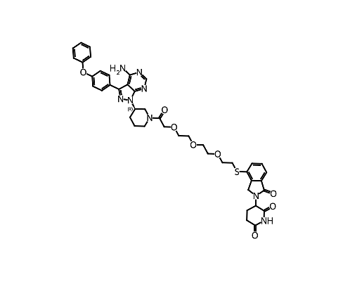 Nc1ncnc2c1c(-c1ccc(Oc3ccccc3)cc1)nn2[C@@H]1CCCN(C(=O)COCCOCCOCCSc2cccc3c2CN(C2CCC(=O)NC2=O)C3=O)C1